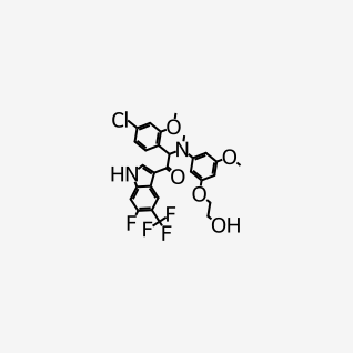 COc1cc(OCCO)cc(N(C)C(C(=O)c2c[nH]c3cc(F)c(C(F)(F)F)cc23)c2ccc(Cl)cc2OC)c1